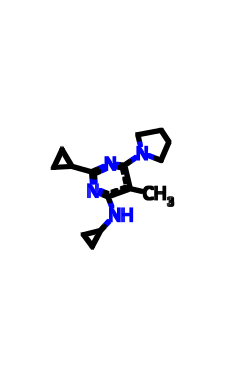 Cc1c(NC2CC2)nc(C2CC2)nc1N1CCCC1